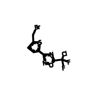 FC(F)(Cl)c1nc(-c2ccc(CBr)s2)no1